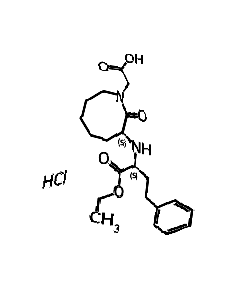 CCOC(=O)[C@H](CCc1ccccc1)N[C@H]1CCCCCN(CC(=O)O)C1=O.Cl